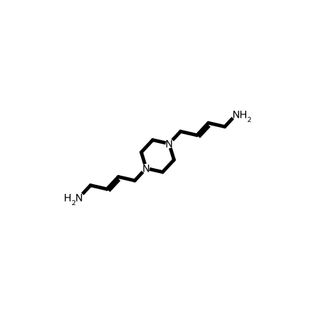 NC/C=C/CN1CCN(C/C=C/CN)CC1